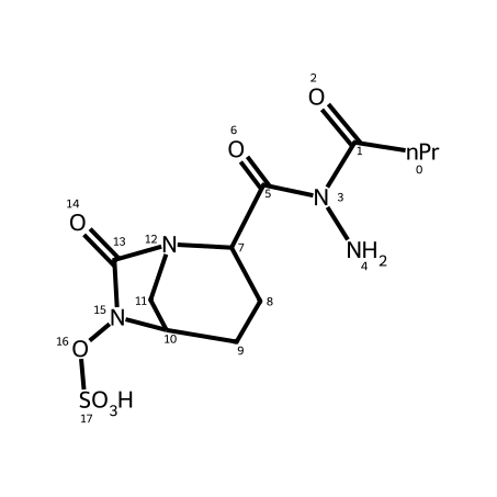 CCCC(=O)N(N)C(=O)C1CCC2CN1C(=O)N2OS(=O)(=O)O